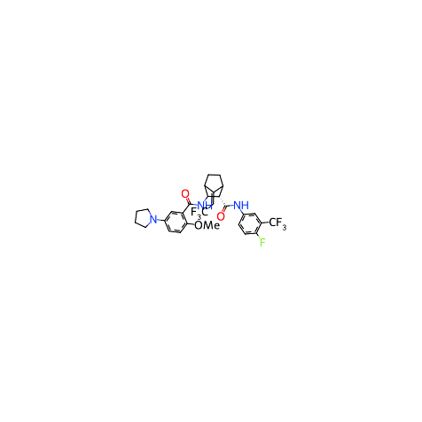 COc1ccc(N2CCCC2)cc1C(=O)NC1C2CCC(/C2=C/C(F)(F)F)[C@@H]1C(=O)Nc1ccc(F)c(C(F)(F)F)c1